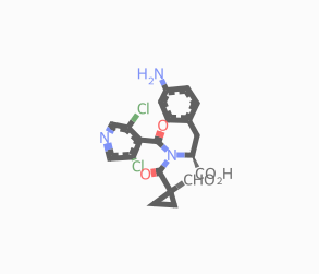 Nc1ccc(C[C@@H](C(=O)O)N(C(=O)c2c(Cl)cncc2Cl)C(=O)C2(C=O)CC2)cc1